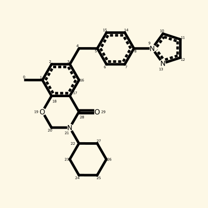 Cc1cc(Cc2ccc(-n3cccn3)cc2)cc2c1OCN(C1CCCCC1)C2=O